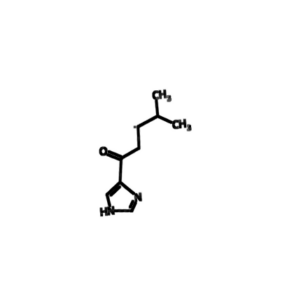 CC(C)[CH]CC(=O)c1c[nH]cn1